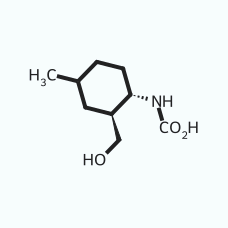 CC1CC[C@H](NC(=O)O)[C@@H](CO)C1